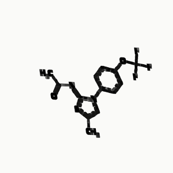 CC(=O)/N=c1\sc(C)cn1-c1ccc(OC(F)(F)F)cc1